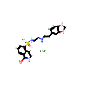 Cl.O=S(=O)(NCCNCCc1ccc2c(c1)OCO2)c1cccc2c(O)nccc12